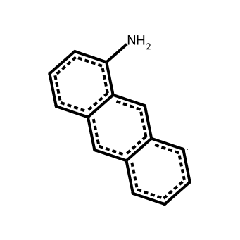 Nc1cccc2cc3ccc[c]c3cc12